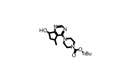 CCCCOC(=O)N1CCN(c2ncnc3c2C(C)CC3O)CC1